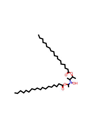 CCCCCCCCCCCCCCCCCC(=O)OC(C)C(C)N(O)C(C)OC(=O)CCCCCCCCCCCCCCCCC